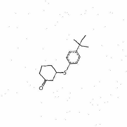 CC(C)(C)c1ccc(SC2CCCC(=O)C2)cc1